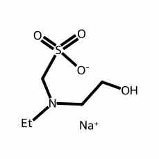 CCN(CCO)CS(=O)(=O)[O-].[Na+]